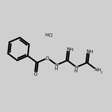 Cl.N=C(N)NC(=N)NOC(=O)c1ccccc1